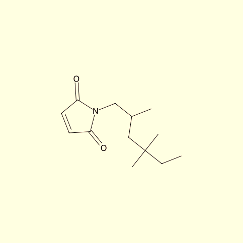 CCC(C)(C)CC(C)CN1C(=O)C=CC1=O